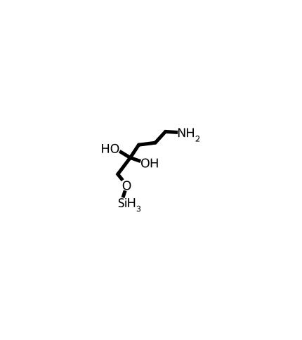 NCCCC(O)(O)CO[SiH3]